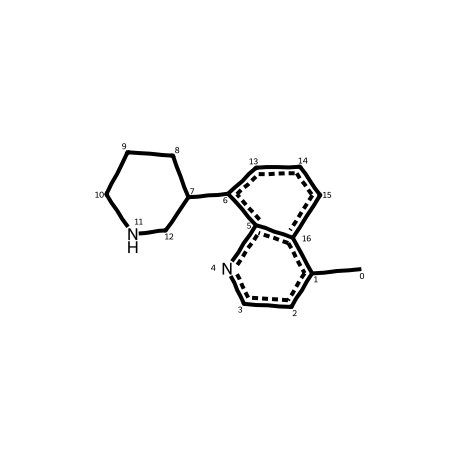 Cc1ccnc2c(C3CCCNC3)cccc12